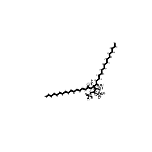 CCCCCCCCCCCCCCCC(O)CC(O)(C(O)CCCCCCCCCCCCCCC)C(O)C(C[N+](C)(C)C)OP(=O)([O-])O